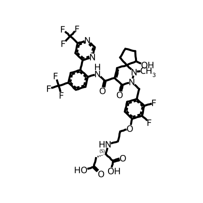 CN1N(Cc2ccc(OCCN[C@@H](CC(=O)O)C(=O)O)c(F)c2F)C(=O)C(C(=O)Nc2ccc(C(F)(F)F)cc2-c2cc(C(F)(F)F)ncn2)=CC12CCCC2O